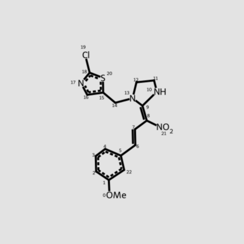 COc1cccc(/C=C/C(=C2/NCCN2Cc2cnc(Cl)s2)[N+](=O)[O-])c1